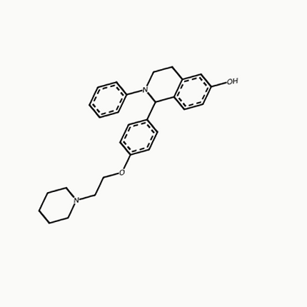 Oc1ccc2c(c1)CCN(c1ccccc1)C2c1ccc(OCCN2CCCCC2)cc1